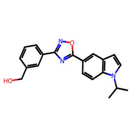 CC(C)n1ccc2cc(-c3nc(-c4cccc(CO)c4)no3)ccc21